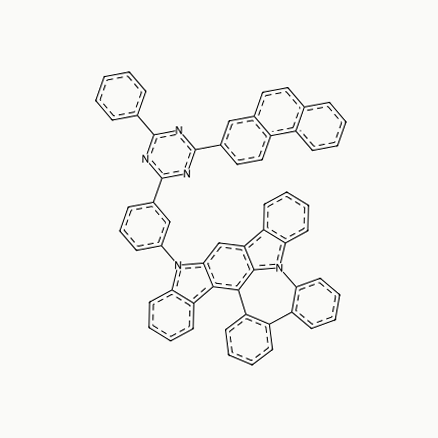 c1ccc(-c2nc(-c3cccc(-n4c5ccccc5c5c6c7c(cc54)c4ccccc4n7-c4ccccc4-c4ccccc4-6)c3)nc(-c3ccc4c(ccc5ccccc54)c3)n2)cc1